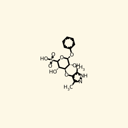 Cc1n[nH]c(C)c1O[C@@H]1[C@@H](O)[C@H](Oc2ccccc2)OC(S(=O)(=O)O)[C@H]1O